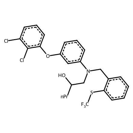 CCCC(O)CN(Cc1ccccc1SC(F)(F)F)c1cccc(Oc2cccc(Cl)c2Cl)c1